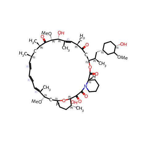 COC1C[C@H](C[C@@H](C)[C@@H]2CC(=O)[C@H](C)/C=C(\C)[C@@H](O)[C@@H](OC)C(=O)[C@H](C)C[C@H](C)/C=C/C=C/C=C(\C)[C@@H](OC)C[C@@H]3CC[C@@H](C)[C@@](O)(O3)C(=O)C(=O)N3CCCC[C@H]3C(=O)O2)CC[C@@H]1O